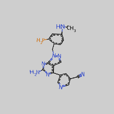 CNc1ccc(Cn2ncc3c(-c4cncc(C#N)c4)nc(N)nc32)c(P)c1